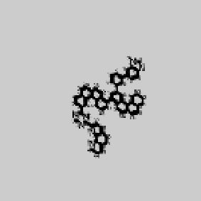 Cn1cnc2ccc(-c3cccc(-c4cc(-c5cccc6c5ccc5ccc7ccc(-c8ncnc(-c9ccc%10ccc%11cccnc%11c%10n9)n8)cc7c56)c5ccc6ccc7ccccc7c6c5c4)c3)cc21